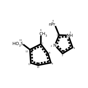 CCCc1ncc[nH]1.Cc1ccccc1S(=O)(=O)O